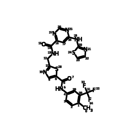 Cc1ccc(NC(=O)c2cnc(CNC(=O)c3cc(Nc4nccs4)ncn3)s2)cc1C(F)(F)F